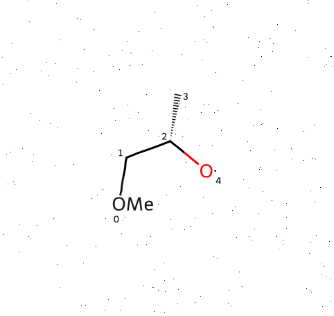 COC[C@H](C)[O]